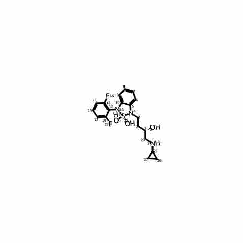 O[C@@H](CCN1c2ccccc2N(c2c(F)cccc2F)S1(O)O)CNC1CC1